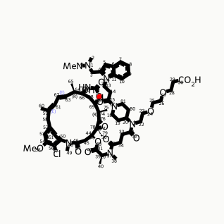 CNN(C)Cc1cc2ccccc2n1CCC(=O)N1CCC(N(CCOCCOCCC(=O)O)C(=O)CCC(=O)N(C)[C@@H](C)C(=O)O[C@H]2CC(=O)N(C)c3cc(cc(OC)c3Cl)C/C(C)=C/C=C/[C@@H](C)[C@@]3(O)C[C@H](OC(=O)N3)[C@@H](C)C3O[C@]32C)CC1